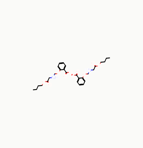 CCCCOC(=O)CNCOc1ccccc1C(=O)OOC(=O)c1ccccc1OCNCC(=O)OCCCC